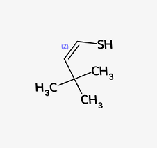 CC(C)(C)/C=C\S